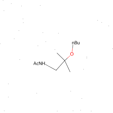 CCCCOC(C)(C)CNC(C)=O